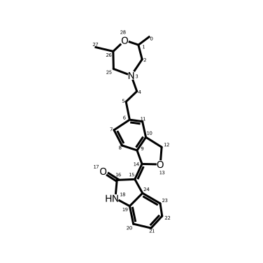 CC1CN(CCc2ccc3c(c2)CO/C3=C2/C(=O)Nc3ccccc32)CC(C)O1